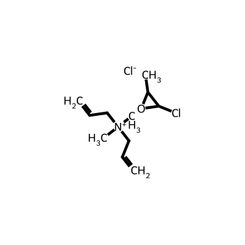 C=CC[N+](C)(C)CC=C.CC1OC1Cl.[Cl-]